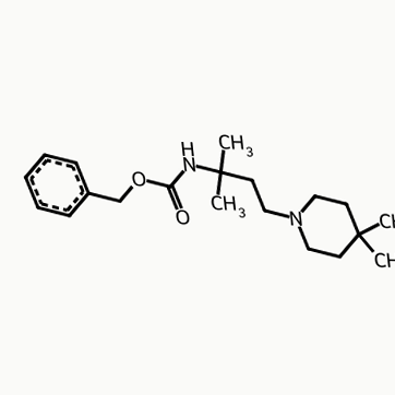 CC1(C)CCN(CCC(C)(C)NC(=O)OCc2ccccc2)CC1